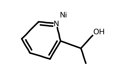 CC(O)c1ccccn1.[Ni]